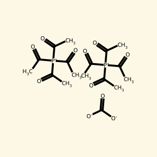 CC(=O)[P+](C(C)=O)(C(C)=O)C(C)=O.CC(=O)[P+](C(C)=O)(C(C)=O)C(C)=O.O=C([O-])[O-]